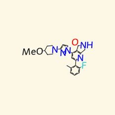 COC1CCN(c2ccn(-c3cc(-c4c(C)cccc4F)nc4c3C(=O)NC4)n2)CC1